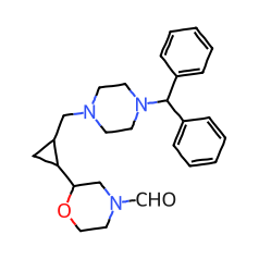 O=CN1CCOC(C2CC2CN2CCN(C(c3ccccc3)c3ccccc3)CC2)C1